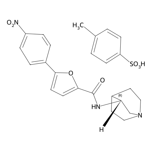 Cc1ccc(S(=O)(=O)O)cc1.O=C(N[C@H]1CN2CCC1CC2)c1ccc(-c2ccc([N+](=O)[O-])cc2)o1